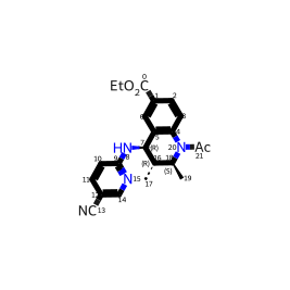 CCOC(=O)c1ccc2c(c1)[C@H](Nc1ccc(C#N)cn1)[C@@H](C)[C@H](C)N2C(C)=O